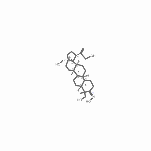 C=C(CO)[C@@H]1CC[C@]2(CO)CC[C@]3(C)[C@H](CC[C@@H]4[C@@]5(C)CC/C(=N/O)C(C)(CO)[C@@H]5CC[C@]43C)[C@@H]12